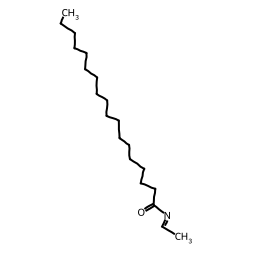 CC=NC(=O)CCCCCCCCCCCCCCCCC